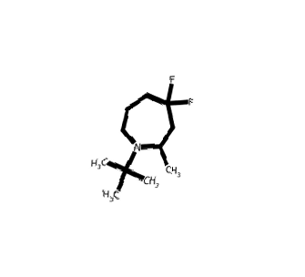 CC1CC(F)(F)CCCN1C(C)(C)C